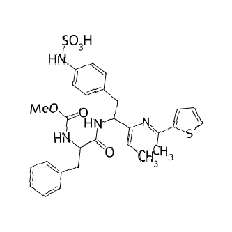 C/C=C(\N=C(/C)c1cccs1)C(Cc1ccc(NS(=O)(=O)O)cc1)NC(=O)C(Cc1ccccc1)NC(=O)OC